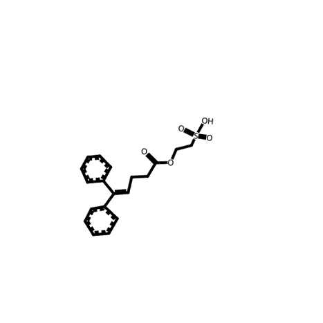 O=C(CCC=C(c1ccccc1)c1ccccc1)OCCS(=O)(=O)O